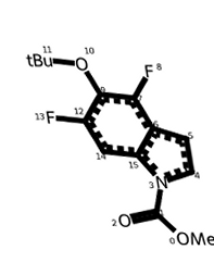 COC(=O)n1ccc2c(F)c(OC(C)(C)C)c(F)cc21